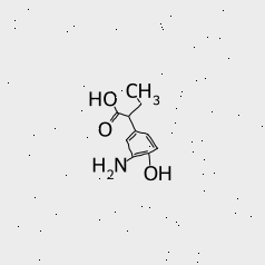 CCC(C(=O)O)c1ccc(O)c(N)c1